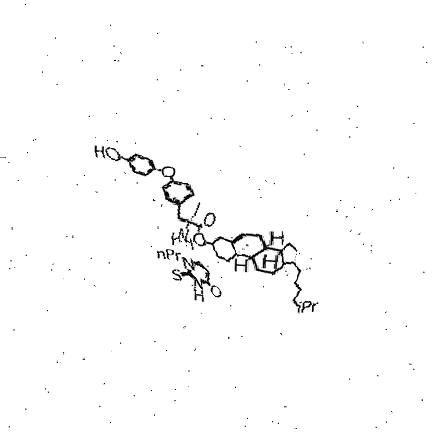 CC(C)CCC[C@@H](C)[C@H]1CC[C@H]2[C@@H]3CC=C4CC(OC(=O)[C@](I)(Cc5ccc(Oc6ccc(O)cc6)cc5)N(I)I)CC[C@]4(C)[C@H]3CC[C@]12C.CCCn1ccc(=O)[nH]c1=S